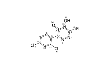 CC(C)c1nnc(-c2ccc(Cl)cc2Cl)c(=O)n1O